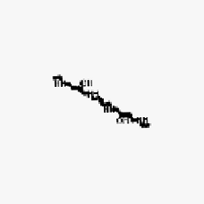 CCNCCC(O)CNCCCCNCC(O)CCNCC